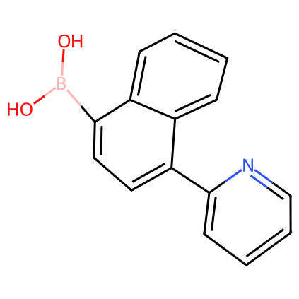 OB(O)c1ccc(-c2ccccn2)c2ccccc12